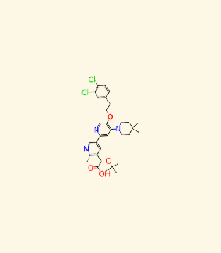 Cc1ncc(-c2cc(N3CCC(C)(C)CC3)c(OCCc3ccc(Cl)c(Cl)c3)cn2)cc1[C@H](OC(C)(C)C)C(=O)O